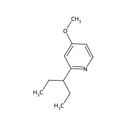 CCC(CC)c1cc(OC)ccn1